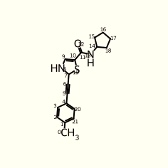 Cc1ccc(C#CC2NC=C(C(=O)NC3CCCC3)S2)cc1